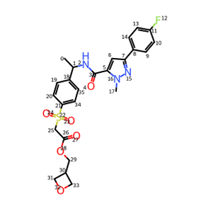 CC(NC(=O)c1cc(-c2ccc(F)cc2)nn1C)c1ccc(S(=O)(=O)CC(=O)OCC2COC2)cc1